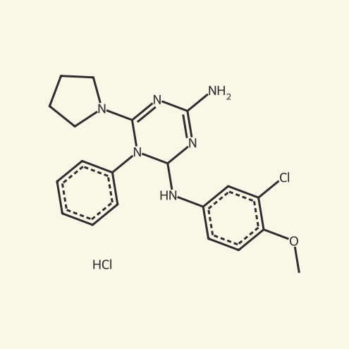 COc1ccc(NC2N=C(N)N=C(N3CCCC3)N2c2ccccc2)cc1Cl.Cl